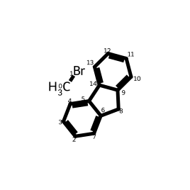 CBr.c1ccc2c(c1)Cc1ccccc1-2